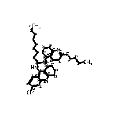 CCCCCCCCC(Nc1c2c(nc3cc(Cl)ccc13)CCCC2)NC1CCCc2nc(OCCCC)ccc21